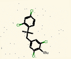 CC(C)(C)c1c(Cl)cc(CC(C)(C)c2ccc(Cl)cc2Cl)cc1Cl